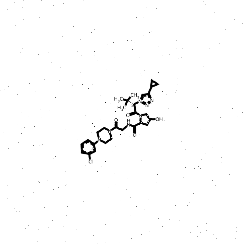 CC(C)(C)[C@@H](C(=O)N1CC(O)CC1C(=O)NCC(=O)N1CCN(c2cccc(Cl)c2)CC1)n1cc(C2CC2)nn1